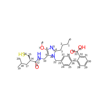 CCCCc1nc(OC)c(CNC(=O)[C@H](CS)CC(C)C)n1Cc1ccc(-c2ccccc2C(=O)O)cc1